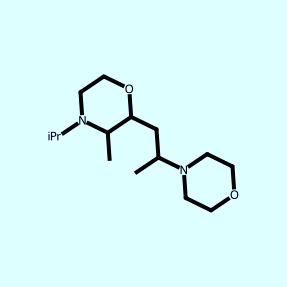 CC(CC1OCCN(C(C)C)C1C)N1CCOCC1